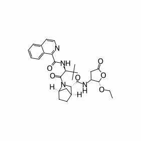 CCO[C@H]1OC(=O)CC1NC(=O)[C@@H]1[C@H]2CC[C@H](C2)N1C(=O)[C@@H](NC(=O)c1nccc2ccccc12)C(C)(C)C